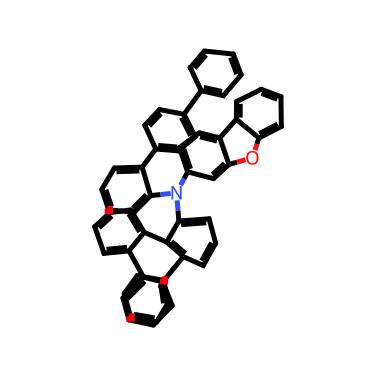 c1ccc(-c2ccc(-c3ccccc3N(c3ccc4c(c3)oc3ccccc34)c3cccc(-c4ccccc4)c3-c3ccccc3-c3ccccc3)cc2)cc1